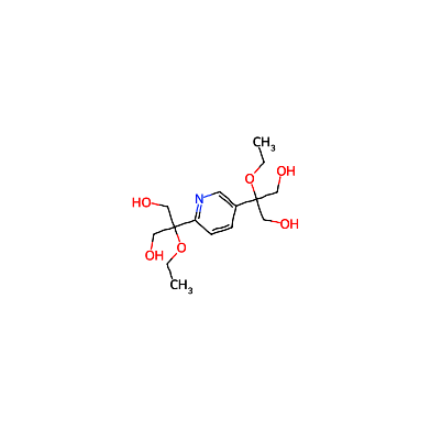 CCOC(CO)(CO)c1ccc(C(CO)(CO)OCC)nc1